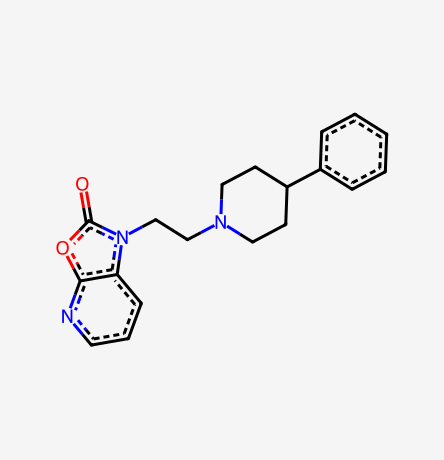 O=c1oc2ncccc2n1CCN1CCC(c2ccccc2)CC1